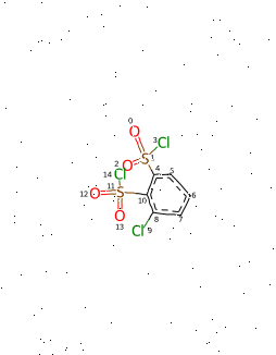 O=S(=O)(Cl)c1cccc(Cl)c1S(=O)(=O)Cl